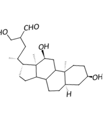 C[C@H](CC(C=O)CO)[C@H]1CCC2C3CC[C@@H]4C[C@H](O)CC[C@]4(C)C3C[C@H](O)[C@@]21C